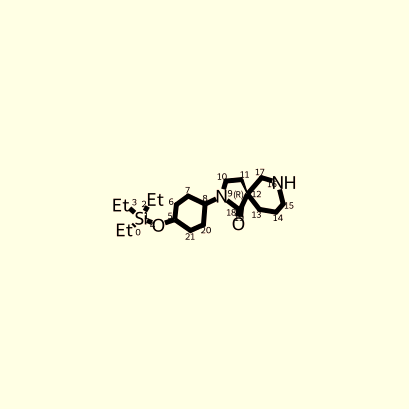 CC[Si](CC)(CC)OC1CCC(N2CC[C@@]3(CCCNC3)C2=O)CC1